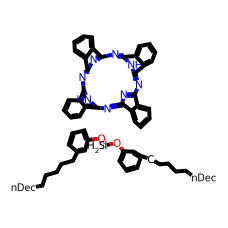 CCCCCCCCCCCCCCCc1cccc(O[SiH2]Oc2cccc(CCCCCCCCCCCCCCC)c2)c1.c1ccc2c(c1)-c1nc-2nc2[nH]c(nc3nc(nc4[nH]c(n1)c1ccccc41)-c1ccccc1-3)c1ccccc21